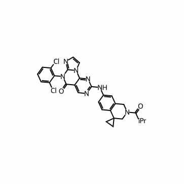 CC(C)C(=O)N1Cc2cc(Nc3ncc4c(=O)n(-c5c(Cl)cccc5Cl)c5nccn5c4n3)ccc2C2(CC2)C1